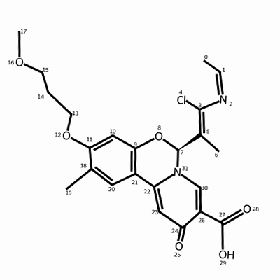 C/C=N\C(Cl)=C(/C)[C@@H]1Oc2cc(OCCCOC)c(C)cc2-c2cc(=O)c(C(=O)O)cn21